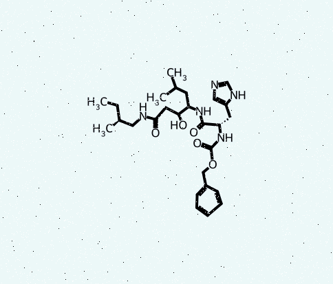 CC[C@H](C)CNC(=O)CC(O)C(CC(C)C)NC(=O)[C@H](Cc1cnc[nH]1)NC(=O)OCc1ccccc1